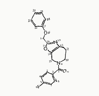 O=C(c1ccc(F)cn1)N1CCc2nc(COc3ccccc3)oc2C1